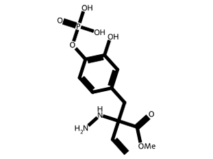 C=CC(Cc1ccc(OP(=O)(O)O)c(O)c1)(NN)C(=O)OC